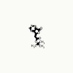 CC(C)(C)OC(=O)C=C1OC(=O)c2nncnc21